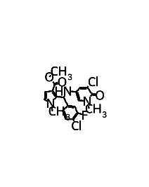 COC(=O)c1ccn(C)c1C(Nc1cc(Cl)c(=O)n(C)c1)c1ccc(Cl)c(F)c1